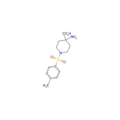 Cc1ccc(S(=O)(=O)N2CCC(N)(C(=O)O)CC2)cc1